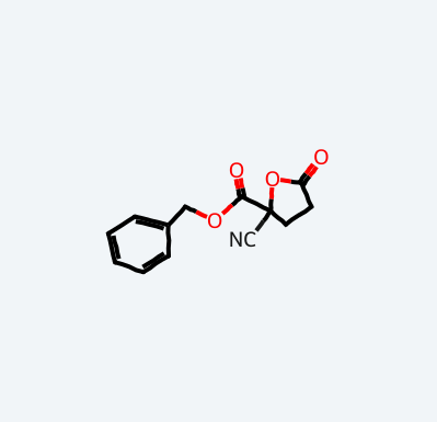 N#CC1(C(=O)OCc2ccccc2)CCC(=O)O1